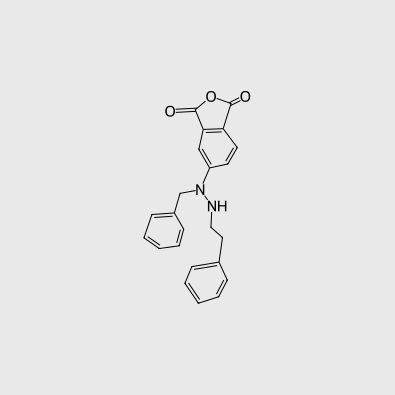 O=C1OC(=O)c2cc(N(Cc3ccccc3)NCCc3ccccc3)ccc21